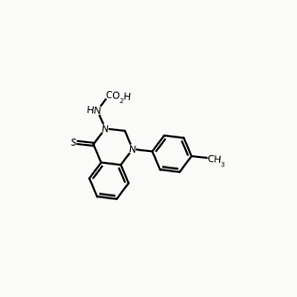 Cc1ccc(N2CN(NC(=O)O)C(=S)c3ccccc32)cc1